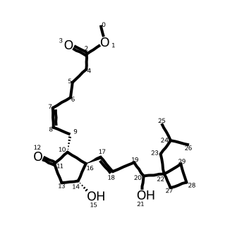 COC(=O)CCC/C=C\C[C@H]1C(=O)C[C@@H](O)[C@@H]1/C=C/CC(O)C1(CC(C)C)CCC1